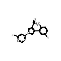 Cc1ccc(Cl)cc1-c1cn(-c2cc(Cl)ncn2)cc1C#N